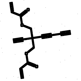 C#CC#CC(C#C)(COC(=O)C=C)COC(=O)C=C